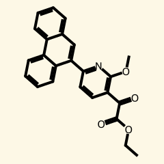 CCOC(=O)C(=O)c1ccc(-c2cc3ccccc3c3ccccc23)nc1OC